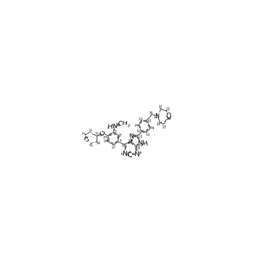 CNc1cc(-c2ncnc3[nH]c(-c4ccc(CN5CCOCC5)cc4)nc23)ccc1OC1CCOCC1